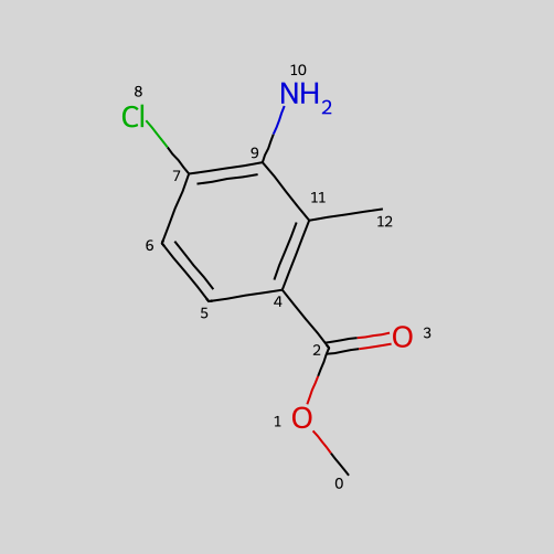 COC(=O)c1ccc(Cl)c(N)c1C